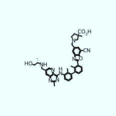 Cc1nc(Nc2cccc(-c3cccc(-c4nc5cc(CN6CC[C@@](C)(C(=O)O)C6)cc(C#N)c5o4)c3C)c2C)c2ncc(CN[C@@H](C)CO)cc2n1